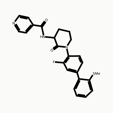 CSc1ccccc1-c1ccc(N2CCCC(NC(=O)c3ccncc3)C2=O)c(F)c1